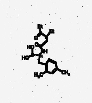 CCC(=O)N(CC)CC(=O)N[C@@H](Cc1ccc(C)cc1C)B(O)O